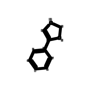 [C]1=C(c2ccccc2)OCO1